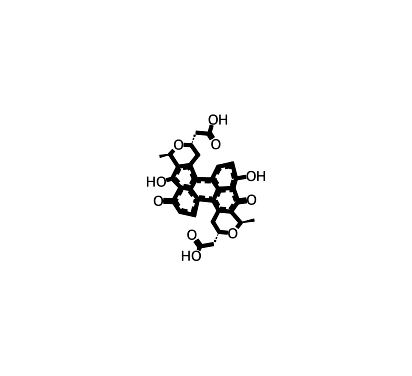 C[C@H]1O[C@H](CC(=O)O)Cc2c1c(O)c1c(=O)ccc3c4c5c(c(=O)c6c(O)ccc(c2c13)c64)[C@@H](C)O[C@H](CC(=O)O)C5